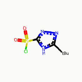 CC(C)(C)c1nnc(S(=O)(=O)Cl)[nH]1